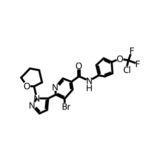 O=C(Nc1ccc(OC(F)(F)Cl)cc1)c1cnc(-c2ccnn2C2CCCCO2)c(Br)c1